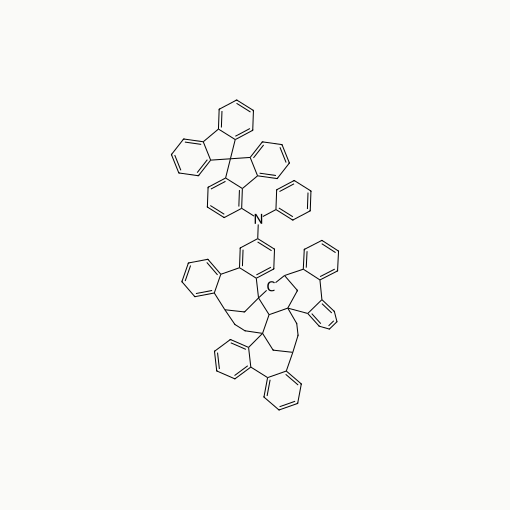 c1ccc(N(c2ccc3c(c2)-c2ccccc2C2CCC45CC(CCC67CC(CC3(C2)C46)c2ccccc2-c2ccccc27)c2ccccc2-c2ccccc25)c2cccc3c2-c2ccccc2C32c3ccccc3-c3ccccc32)cc1